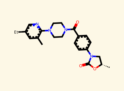 CCc1cnc(N2CCN(C(=O)c3ccc(N4C[C@H](C)OC4=O)cc3)CC2)c(C)c1